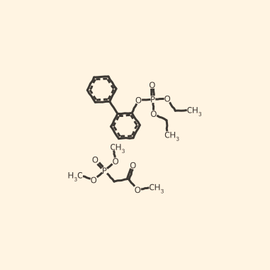 CCOP(=O)(OCC)Oc1ccccc1-c1ccccc1.COC(=O)CP(=O)(OC)OC